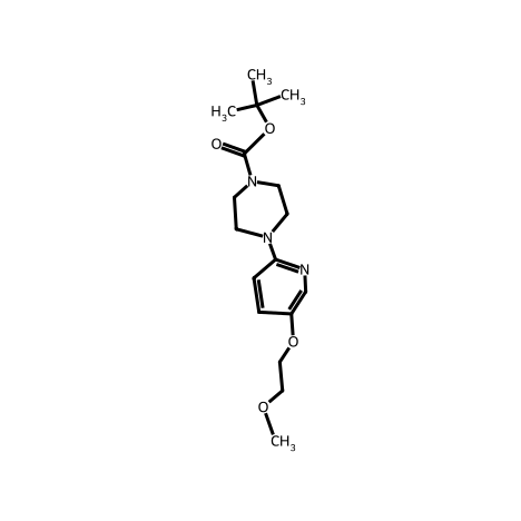 COCCOc1ccc(N2CCN(C(=O)OC(C)(C)C)CC2)nc1